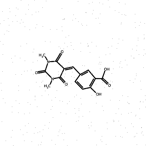 CN1C(=O)C(=Cc2ccc(O)c(C(=O)O)c2)C(=O)N(C)C1=O